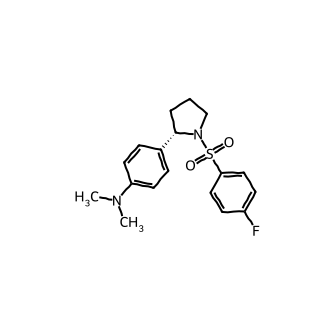 CN(C)c1ccc([C@@H]2CCCN2S(=O)(=O)c2ccc(F)cc2)cc1